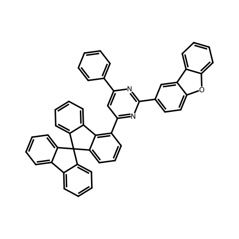 c1ccc(-c2cc(-c3cccc4c3-c3ccccc3C43c4ccccc4-c4ccccc43)nc(-c3ccc4oc5ccccc5c4c3)n2)cc1